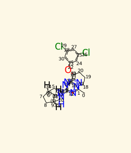 Cc1cc(N2C[C@H]3CC[C@@H](C2)[C@@H]3Nc2nc3n(n2)CCC[C@@H]3Oc2cc(Cl)cc(Cl)c2)ncn1